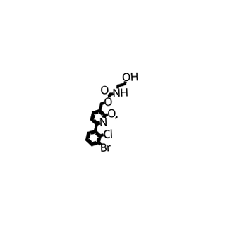 COc1nc(-c2cccc(Br)c2Cl)ccc1COC(=O)NCCO